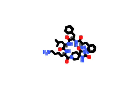 CC(C)C[C@@H](NC(=O)[C@@H](Cc1ccccc1)NC(=O)[C@H](N)Cc1ccccc1)C(=O)N[C@H](CCCCN)C(=O)N1CCC2(CC1)NC(=O)NC2=O